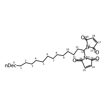 CCCCCCCCCCCCCCCCCCCCCCC(N1C(=O)C=CC1=O)N1C(=O)C=CC1=O